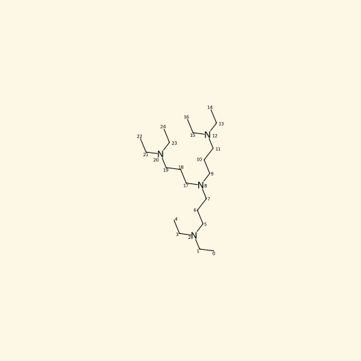 CCN(CC)CCCN(CCCN(CC)CC)CCCN(CC)CC